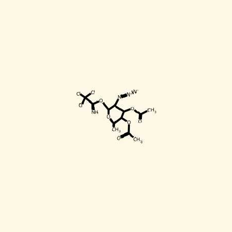 CC(=O)OC1C(C)OC(OC(=N)C(Cl)(Cl)Cl)C(N=[N+]=[N-])C1OC(C)=O